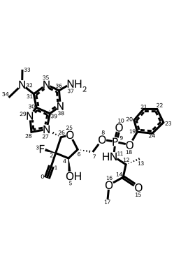 C#C[C@@]1(F)[C@H](O)[C@@H](COP(=O)(N[C@H](C)C(=O)OC)Oc2ccccc2)O[C@H]1n1cnc2c(N(C)C)nc(N)nc21